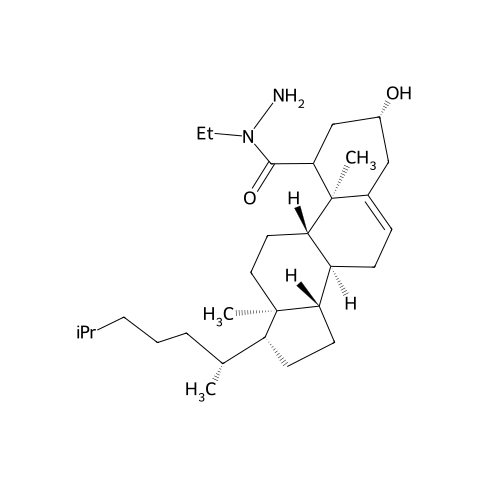 CCN(N)C(=O)C1C[C@H](O)CC2=CC[C@H]3[C@@H]4CC[C@H]([C@H](C)CCCC(C)C)[C@@]4(C)CC[C@@H]3[C@]21C